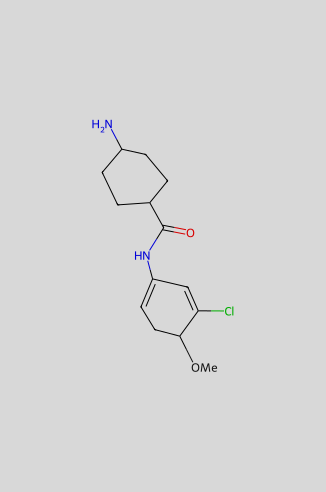 COC1CC=C(NC(=O)C2CCC(N)CC2)C=C1Cl